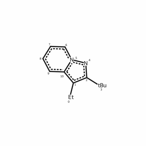 CCc1c(C(C)(C)C)nn2ccccc12